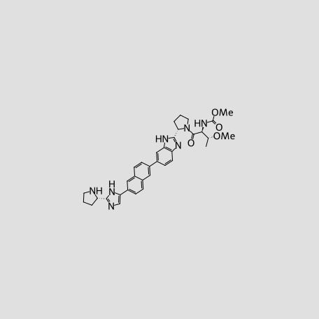 COC(=O)N[C@H](C(=O)N1CCC[C@H]1c1nc2ccc(-c3ccc4cc(-c5cnc([C@@H]6CCCN6)[nH]5)ccc4c3)cc2[nH]1)[C@@H](C)OC